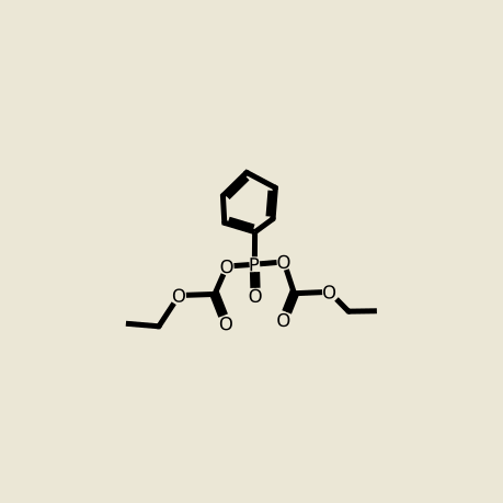 CCOC(=O)OP(=O)(OC(=O)OCC)c1ccccc1